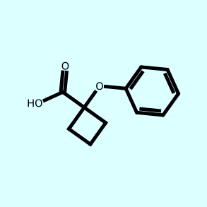 O=C(O)C1(Oc2ccccc2)CCC1